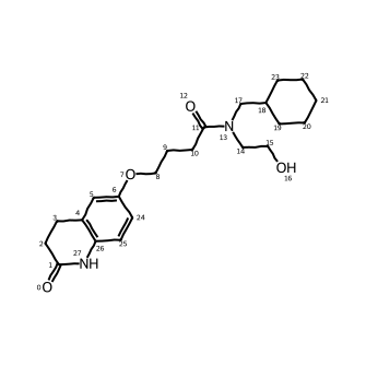 O=C1CCc2cc(OCCCC(=O)N(CCO)CC3CCCCC3)ccc2N1